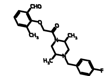 Cc1cccc(C=O)c1OCC(=O)N1CC(C)N(Cc2ccc(F)cc2)CC1C